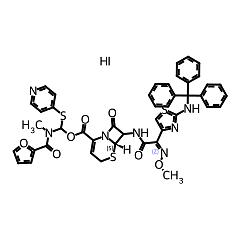 CO/N=C(\C(=O)NC1C(=O)N2C(C(=O)OC(Sc3ccncc3)N(C)C(=O)c3ccco3)=CCS[C@@H]12)c1csc(NC(c2ccccc2)(c2ccccc2)c2ccccc2)n1.I